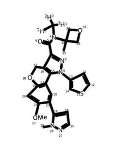 [2H]C([2H])([2H])N(C(=O)c1nn(-c2ccsc2)c2c1COc1cc(OC)c(-c3ccnn3C)cc1-2)C1(C)COC1